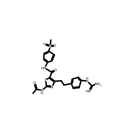 CC(=O)Nc1nc(CCc2ccc(NC(=N)N)cc2)c(C(=O)Nc2ccc(S(C)(=O)=O)cc2)s1